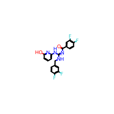 O=C(/N=C(/NCc1ccc(F)c(F)c1)Nc1cccc(O)n1)c1ccc(F)c(F)c1